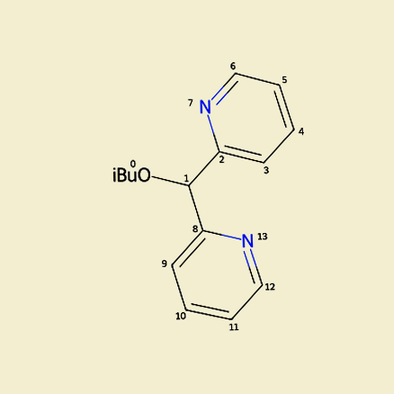 CC(C)COC(c1ccccn1)c1ccccn1